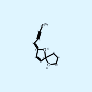 CCCC#CC=C1C=CC2(CCCO2)O1